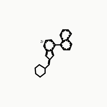 [C]1=c2cccc(-c3cccc4ccccc34)c2=CC1=CC1CCCCC1.[Zr]